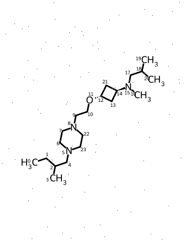 CCC(C)CN1CCN(CCO[C@H]2C[C@H](N(C)CC(C)C)C2)CC1